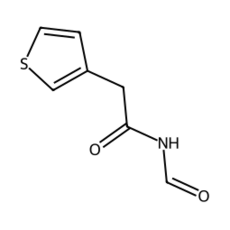 O=CNC(=O)Cc1ccsc1